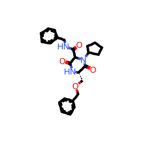 O=C(NCc1ccccc1)C1C(=O)N[C@@H](COCc2ccccc2)C(=O)N1C1CCCC1